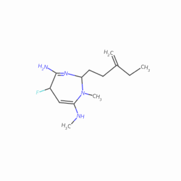 C=C(CC)CCC1N=C(N)C(F)C=C(NC)N1C